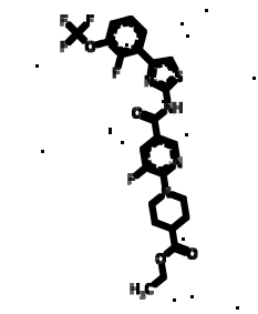 CCOC(=O)C1CCN(c2ncc(C(=O)Nc3nc(-c4cccc(OC(F)(F)F)c4F)cs3)cc2F)CC1